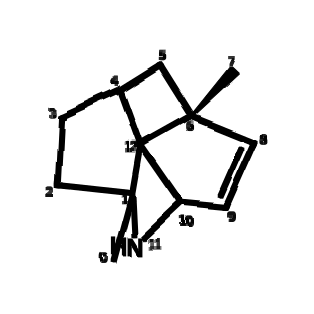 CC12CCC3C[C@]4(C)C=CC(N1)C324